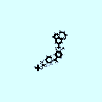 Cn1c(-c2cc3c4c(ccn4CCCO3)c2)nc2cc(C(=O)N3CCC[C@@H](NC(=O)OC(C)(C)C)C3)ccc21